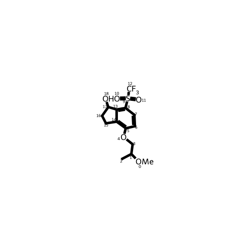 COC(C)COc1ccc(S(=O)(=O)C(F)(F)F)c2c1CCC2O